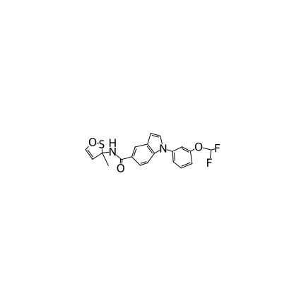 CC1(NC(=O)c2ccc3c(ccn3-c3cccc(OC(F)F)c3)c2)C=COS1